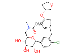 COC(=O)N(C)C[C@H]1O[C@@H](c2ccc(Cl)c(Cc3ccc(O[C@@H]4CCOC4)cc3)c2)[C@H](O)[C@@H](O)[C@@H]1O